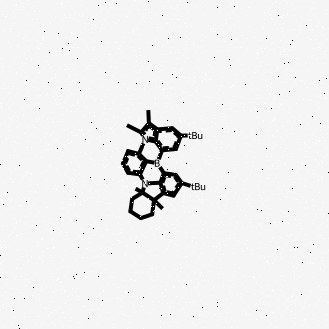 Cc1c(C)n2c3c(cc(C(C)(C)C)cc13)B1c3cc(C(C)(C)C)cc4c3N(c3cccc-2c31)C1(C)CCCCC41C